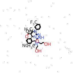 COC(=O)C1=C(C)N(c2cccc(C(F)(F)F)c2)c2n[nH]c(=O)n2[C@@H]1c1ccc(C#N)cc1C[N+](C)(CCO)CCCO